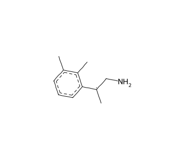 C[C](CN)c1cccc(C)c1C